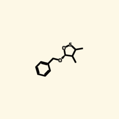 CC1SO[C@H](OCc2ccccc2)C1C